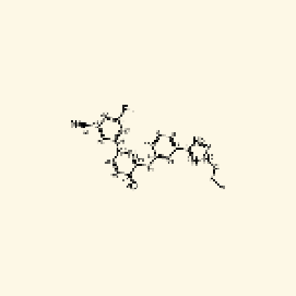 CCCn1cnc(-c2cccc(Cc3nn(-c4cc(F)cc(C#N)c4)ccc3=O)c2)n1